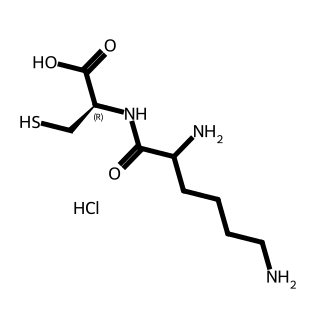 Cl.NCCCCC(N)C(=O)N[C@@H](CS)C(=O)O